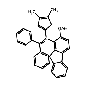 COc1ccc2c([c]1[Zr]([C]1=CC(C)=C(C)C1)=[C](c1ccccc1)c1ccccc1)Cc1ccccc1-2